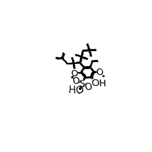 CCc1c(OC)c(O)c(S(=O)(=O)O)c(OC)c1C(C(C)(C)CC(C)C)C(C)(C)CC(C)(C)C